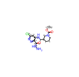 CC(C)(C)OC(=O)N1CCCC(CNc2cc(Cl)nnc2C(=O)NN)C1